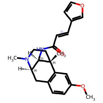 COc1ccc2c(c1)[C@@]1(C)CCN(C)[C@H](C2)[C@H]1NC(=O)/C=C/c1ccoc1